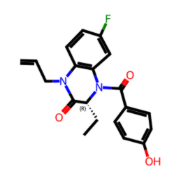 C=CCN1C(=O)[C@@H](CC)N(C(=O)c2ccc(O)cc2)c2cc(F)ccc21